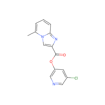 Cc1cccc2nc(C(=O)Oc3cncc(Cl)c3)cn12